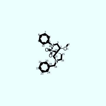 CO[C@H]1CN(c2ccccc2)S(=O)(=O)[C@@]12CCN(Cc1ccccc1)C2